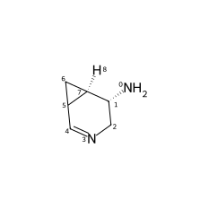 N[C@@H]1CN=CC2C[C@H]21